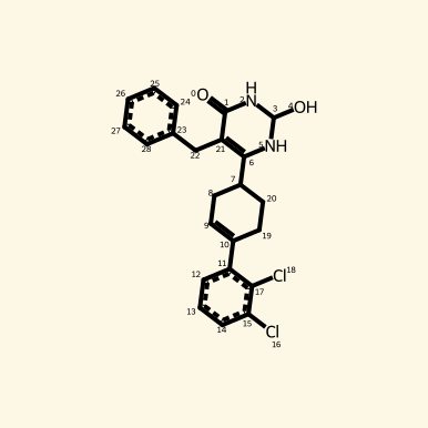 O=C1NC(O)NC(C2CC=C(c3cccc(Cl)c3Cl)CC2)=C1Cc1ccccc1